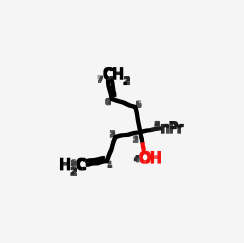 C=CCC(O)(CC=C)CCC